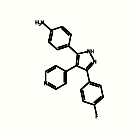 Nc1ccc(-c2[nH]nc(-c3ccc(F)cc3)c2-c2ccncc2)cc1